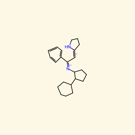 C(=C1\CCCN1)/C(=N\C1CCCC1C1CCCCC1)c1ccccc1